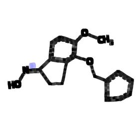 COc1ccc2c(c1OCc1ccccc1)CC/C2=N\O